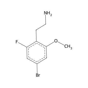 COc1cc(Br)cc(F)c1CCN